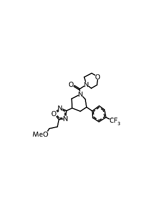 COCCc1nc(C2CC(c3ccc(C(F)(F)F)cc3)CN(C(=O)N3CCOCC3)C2)no1